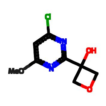 COc1cc(Cl)nc(C2(O)COC2)n1